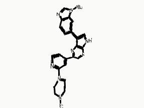 CCN1CCN(c2cc(-c3cnc4[nH]cc(-c5ccc6ncn(C(C)(C)C)c6c5)c4n3)ccn2)CC1